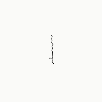 CCCCCCCCCC=CCC(CCC(=O)O)C(=O)O